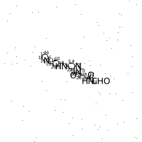 Cc1nc2ccc(NCc3ccc(CN4CCCCC4)cc3)cc2c(=O)n1C(C)CCC(=O)NC=O